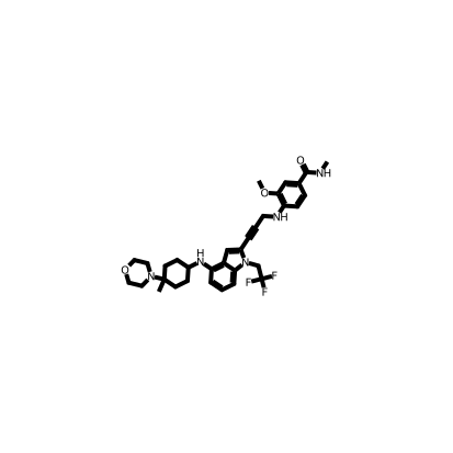 CNC(=O)c1ccc(NCC#Cc2cc3c(NC4CCC(C)(N5CCOCC5)CC4)cccc3n2CC(F)(F)F)c(OC)c1